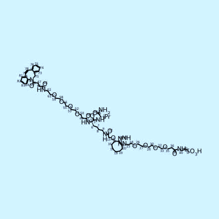 CC(C)[C@H](NC(=O)[C@@H](CCCCNC(=O)COC1CCCCC/C(NCCOCCOCCOCCOCCC(=O)NCCS(=O)(=O)O)=C\1N=N)NC(=O)CCOCCOCCOCCOCCNC(=O)CCC(=O)N1Cc2ccccc2C#Cc2ccccc21)C(N)=O